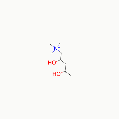 C[C](O)CC(O)C[N+](C)(C)C